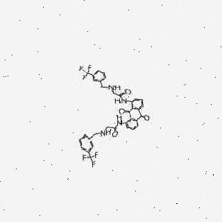 O=C(CNCc1cccc(C(F)(F)F)c1)Nc1cccc2c1C(=O)c1c(NC(=O)CNCc3cccc(C(F)(F)F)c3)cccc1C2=O